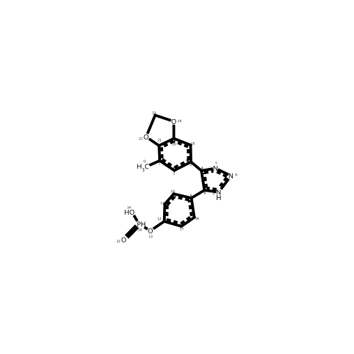 Cc1cc(-c2nn[nH]c2-c2ccc(O[PH](=O)O)cc2)cc2c1OCO2